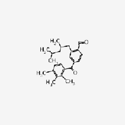 Cc1ccc(C(=O)c2ccc(P=O)c(CC(C)CC(C)C)c2)c(C)c1C